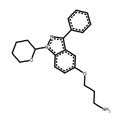 NCCCOc1ccc2c(c1)c(-c1c[c]ccc1)nn2C1CCCCO1